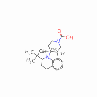 CC(C)(C)C1CCc2cccc3c2N1[C@H]1CCN(C(=O)O)C[C@@H]31